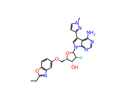 CCc1nc2cc(OC[C@H]3O[C@@H](n4cc(-c5ccn(C)n5)c5c(N)ncnc54)[C@@H](F)[C@@H]3O)ccc2o1